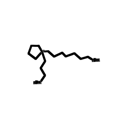 CCCCCCCCCCCCCCCCC[N+]1(CCCCCCCCCCCCC)CCCC1